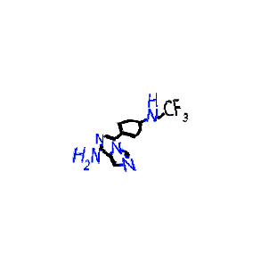 Nc1ncc(C2=CCC(NCC(F)(F)F)CC2)n2cncc12